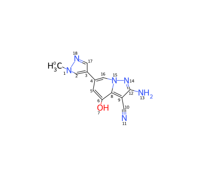 Cn1cc(-c2cc(O)c3c(C#N)c(N)nn3c2)cn1